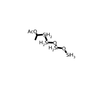 CC(=O)OC(C)[SiH2][SiH2]O[SiH2]O[SiH3]